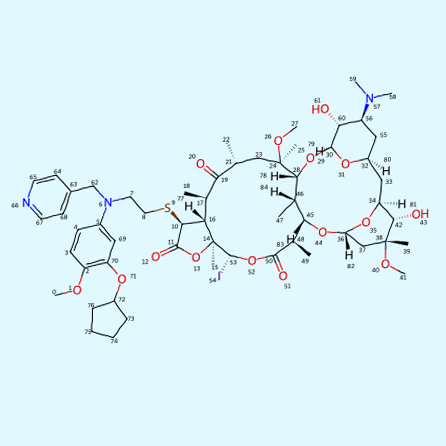 COc1ccc(N(CCS[C@@H]2C(=O)O[C@@]3(C)[C@H]2[C@@H](C)C(=O)[C@H](C)C[C@@](C)(OC)[C@@H]2O[C@@H]4O[C@H](C[C@@H]5O[C@H](C[C@@](C)(OC)[C@H]5O)O[C@@H]([C@@H]2C)[C@@H](C)C(=O)O[C@@H]3I)C[C@H](N(C)C)[C@H]4O)Cc2ccncc2)cc1OC1CCCC1